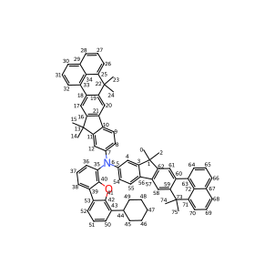 CC1(C)c2cc(N(c3ccc4c(c3)C(C)(C)c3cc5c(cc3-4)C(C)(C)c3cccc4cccc-5c34)c3cccc4c3oc3c(C5CCCCC5)cccc34)ccc2-c2cc3c(cc21)-c1cccc2cccc(c12)C3(C)C